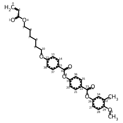 C=CC(=O)OCCCCCCOc1ccc(C(=O)Oc2ccc(C(=O)Oc3ccc(OC)c(C)c3)cc2)cc1